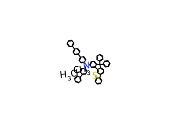 CC1(C)c2ccccc2-c2ccc(N(c3ccc(-c4ccc(-c5ccccc5)cc4)cc3)c3ccc4c(c3)-c3c(ccc5c3sc3ccccc35)C4(c3ccccc3)c3ccccc3)cc21